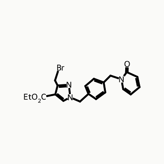 CCOC(=O)c1cn(Cc2ccc(Cn3ccccc3=O)cc2)nc1CBr